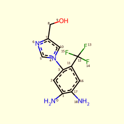 Nc1cc(-n2cnc(CO)c2)c(C(F)(F)F)cc1N